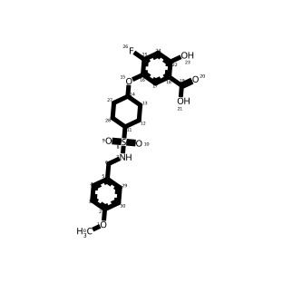 COc1ccc(CNS(=O)(=O)C2CCC(Oc3cc(C(=O)O)c(O)cc3F)CC2)cc1